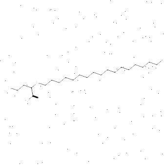 CCCCCCCCCCCCCCCCCCNC(CCN)C(N)=O